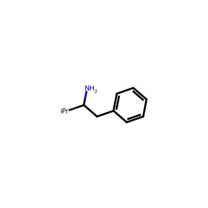 CC(C)C(N)Cc1ccccc1